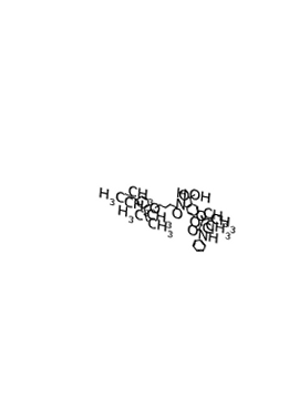 CCC(C)(C)c1ccc(OCCCC(=O)Nc2cc(OC(Cl)(C(=O)Nc3ccccc3)C(=O)C(C)(C)C)ccc2C(=O)O)c(C(C)(C)CC)c1